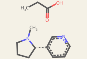 CCC(=O)O.CN1CCC[C@H]1c1cccnc1